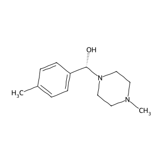 Cc1ccc([C@H](O)N2CCN(C)CC2)cc1